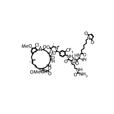 COc1cc2cc(c1Cl)N(C)C(=O)C[C@H](OC(=O)[C@H](C)N(C)C(=O)c1ccc(NC(=O)[C@H](CCCNC(N)=O)NC(=O)[C@@H](NC(=O)CCCCCN3C(=O)C=CC3=O)C(C)C)c(C(F)(F)F)c1)[C@]1(C)O[C@H]1C[C@@H]1C[C@@](O)(NC(=O)O1)[C@H](OC)/C=C/C=C(\C)C2